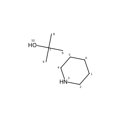 C1CCNCC1.CC(C)(C)O